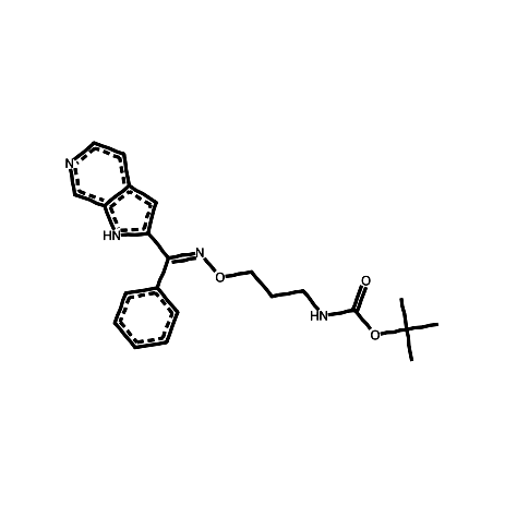 CC(C)(C)OC(=O)NCCCON=C(c1ccccc1)c1cc2ccncc2[nH]1